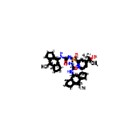 CC(C)(O)c1ccnc(S(=O)(=NC(=O)Nc2c3c(c(C#N)c4c2CCC4)CCC3)NC(=O)Nc2c3c(c(C#N)c4c2CCC4)CCC3)c1